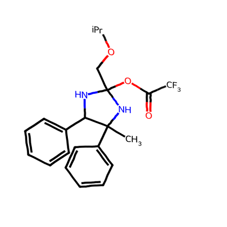 CC(C)OCC1(OC(=O)C(F)(F)F)NC(c2ccccc2)C(C)(c2ccccc2)N1